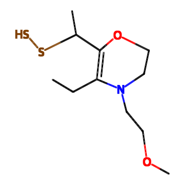 CCC1=C(C(C)SS)OCCN1CCOC